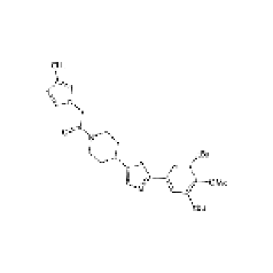 COc1c(C(C)(C)C)cc(-c2ncc(C3CCN(C(=O)Cn4cnc(C)c4)CC3)s2)cc1C(C)(C)C